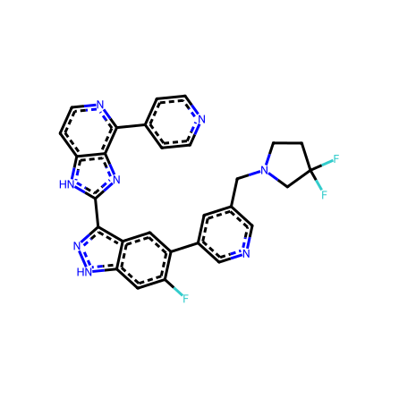 Fc1cc2[nH]nc(-c3nc4c(-c5ccncc5)nccc4[nH]3)c2cc1-c1cncc(CN2CCC(F)(F)C2)c1